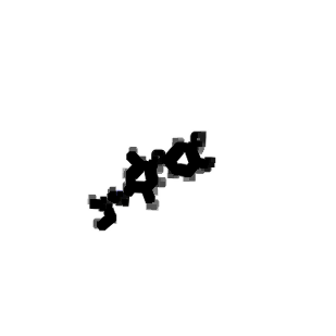 CCN(C)/C=N/c1cc(C)c(Oc2ccc(F)c(Cl)c2)cc1C